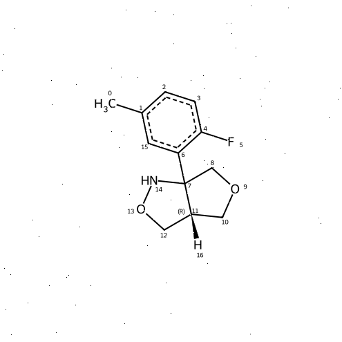 Cc1ccc(F)c(C23COC[C@@H]2CON3)c1